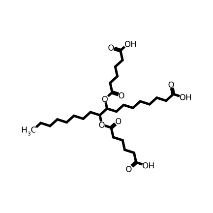 CCCCCCCCC(OC(=O)CCCCC(=O)O)C(CCCCCCCC(=O)O)OC(=O)CCCCC(=O)O